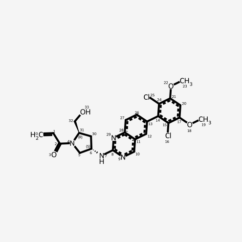 C=CC(=O)N1C[C@@H](Nc2ncc3cc(-c4c(Cl)c(OC)cc(OC)c4Cl)ccc3n2)C[C@@H]1CO